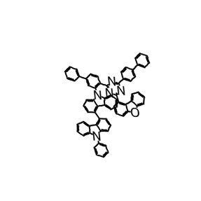 c1ccc(-c2ccc(-c3nc(-c4ccc(-c5ccccc5)cc4-n4c5ccccc5c5c(-c6cccc7c6c6ccccc6n7-c6ccccc6)cccc54)nc(-c4cccc5oc6ccccc6c45)n3)cc2)cc1